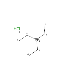 CC[Si](CC)CC.Cl